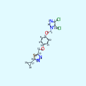 Clc1ncn(COc2ccc(OCc3nnc(C4CC4)s3)cc2)c1Cl